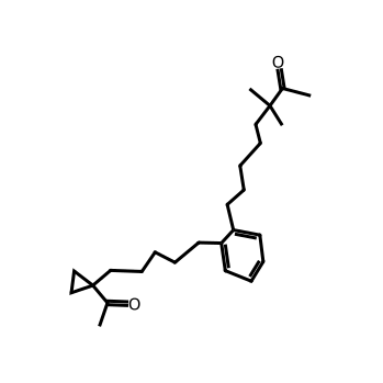 CC(=O)C(C)(C)CCCCCc1ccccc1CCCCCC1(C(C)=O)CC1